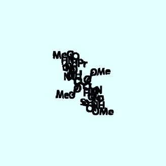 COCCOc1cc(-c2cnc([C@@H]3CCCN3C(=O)[C@@H](NC(=O)OC)C(C)C)[nH]2)ccc1-c1ccc(-c2cnc([C@@H]3CCCN3C(=O)[C@H](NC(=O)OC)c3ccsc3)[nH]2)cc1OCCOC